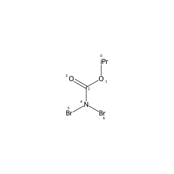 CC(C)OC(=O)N(Br)Br